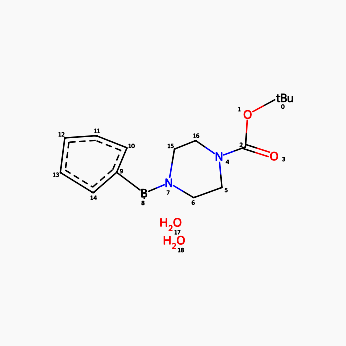 CC(C)(C)OC(=O)N1CCN([B]c2ccccc2)CC1.O.O